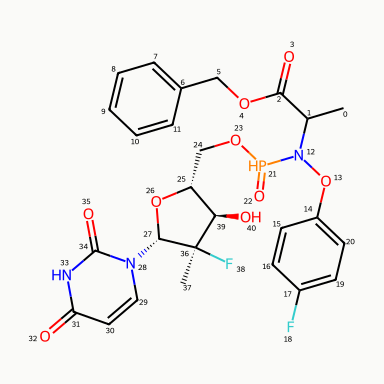 CC(C(=O)OCc1ccccc1)N(Oc1ccc(F)cc1)[PH](=O)OC[C@H]1O[C@@H](n2ccc(=O)[nH]c2=O)[C@](C)(F)[C@@H]1O